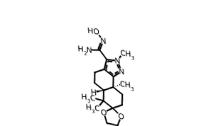 Cn1nc2c(c1/C(N)=N/O)CC[C@H]1C(C)(C)C3(CC[C@]21C)OCCO3